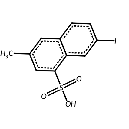 Cc1cc(S(=O)(=O)O)c2cc(I)ccc2c1